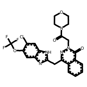 O=C(Cn1nc(Cc2nc3cc(OC(F)(F)F)c(Cl)cc3[nH]2)c2ccccc2c1=O)N1CCOCC1